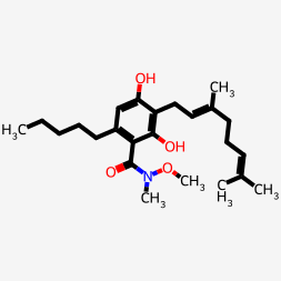 CCCCCc1cc(O)c(C/C=C(\C)CCC=C(C)C)c(O)c1C(=O)N(C)OC